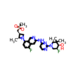 C[C@@H]1[C@@H](CS(C)(=O)=O)CN1c1ccc(F)c2cc(Nc3ccnc(N4C[C@H](F)[C@H](O)C(C)(C)C4)n3)ncc12